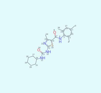 Cc1cc(C)c(NC(=O)c2sc(NC(=O)NC3CCCCC3)nc2C)c(C)c1